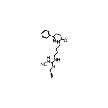 C#CC/N=C(\NC#N)NCCCCN1N=C(c2ccccc2)CCC1=O